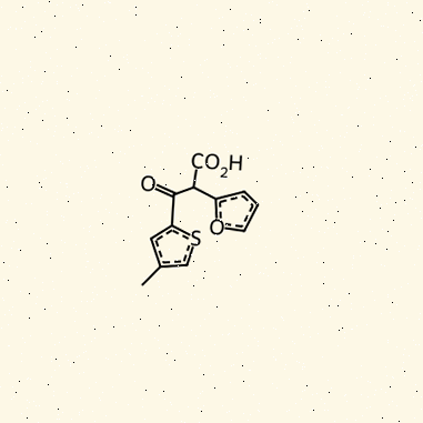 Cc1csc(C(=O)C(C(=O)O)c2ccco2)c1